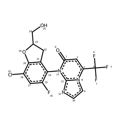 O=c1cc(C(F)(F)F)n2ccnc2n1-c1c(F)cc(Cl)c2c1CC(CO)O2